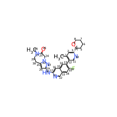 Cc1cc([C@H]2CCCCO2)ncc1-c1cc2cc(Nc3cc4n(n3)CC(=O)N(C)CC4)ncc2cc1F